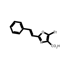 CCc1oc(C=Cc2ccccc2)nc1C(=O)O